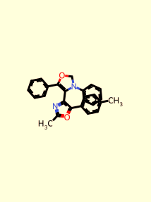 Cc1ccc(-c2oc(C)nc2C2=C(c3ccccc3)OCN2c2ccccc2)cc1